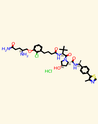 Cc1ncsc1-c1ccc([C@H](C)NC(=O)[C@@H]2C[C@@H](O)CN2C(=O)[C@@H](NC(=O)CCCc2cccc(OC[C@@H](N)CCC(N)=O)c2Cl)C(C)(C)C)cc1.Cl